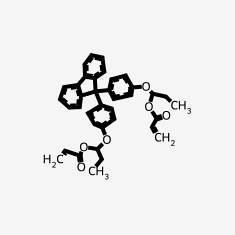 C=CC(=O)OC(CC)Oc1ccc(C2(c3ccc(OC(CC)OC(=O)C=C)cc3)c3ccccc3-c3ccccc32)cc1